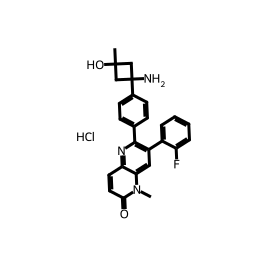 Cl.Cn1c(=O)ccc2nc(-c3ccc(C4(N)CC(C)(O)C4)cc3)c(-c3ccccc3F)cc21